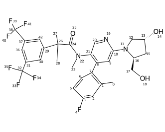 Cc1cc(F)ccc1-c1cc(N2C[C@H](O)C[C@H]2CO)ncc1N(C)C(=O)C(C)(C)c1cc(C(F)(F)F)cc(C(F)(F)F)c1